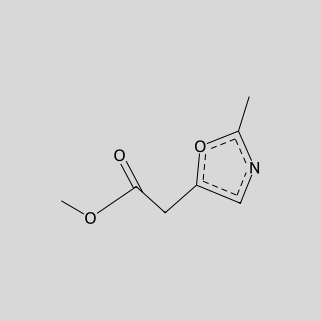 COC(=O)Cc1cnc(C)o1